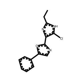 CCc1nc(-c2ncc(-c3ccccc3)o2)c(Cl)[nH]1